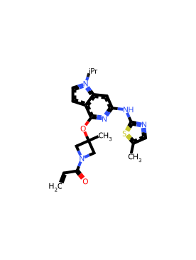 C=CC(=O)N1CC(C)(Oc2nc(Nc3ncc(C)s3)cc3c2ccn3C(C)C)C1